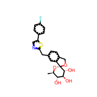 C[C@H]1O[C@]2(OCc3ccc(Cc4ncc(-c5ccc(F)cc5)s4)cc32)[C@H](O)[C@@H](O)[C@@H]1O